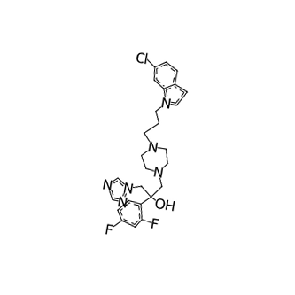 OC(CN1CCN(CCCn2ccc3ccc(Cl)cc32)CC1)(Cn1cncn1)c1ccc(F)cc1F